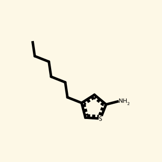 CCCCCCc1csc(N)c1